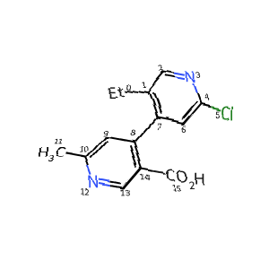 CCc1cnc(Cl)cc1-c1cc(C)ncc1C(=O)O